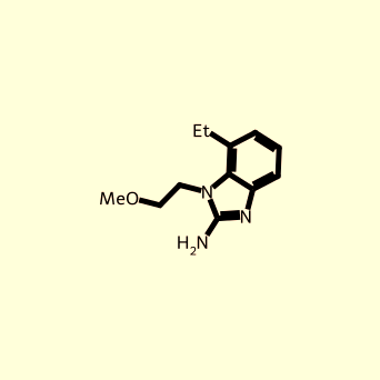 CCc1cccc2nc(N)n(CCOC)c12